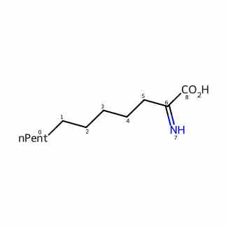 CCCCCCCCCCC(=N)C(=O)O